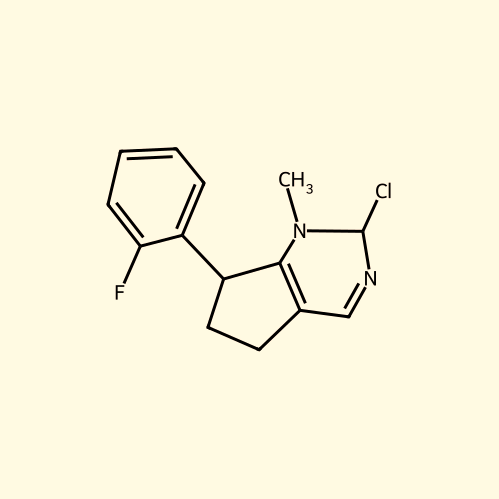 CN1C2=C(C=NC1Cl)CCC2c1ccccc1F